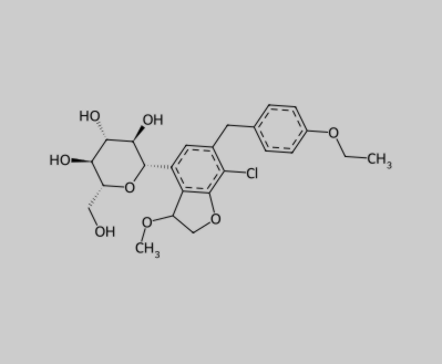 CCOc1ccc(Cc2cc([C@@H]3O[C@H](CO)[C@@H](O)[C@H](O)[C@H]3O)c3c(c2Cl)OCC3OC)cc1